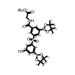 CC(C)COC(=O)CNC(=O)c1cc(B2OC(C)(C)C(C)(C)O2)cc(S(=O)(=O)c2cc(S)cc(B3OC(C)(C)C(C)(C)O3)c2)c1